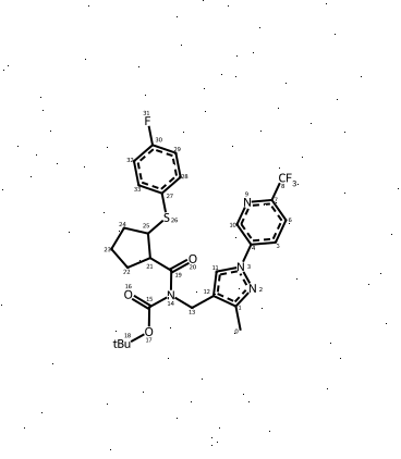 Cc1nn(-c2ccc(C(F)(F)F)nc2)cc1CN(C(=O)OC(C)(C)C)C(=O)C1CCCC1Sc1ccc(F)cc1